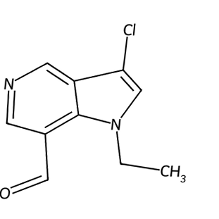 CCn1cc(Cl)c2cncc(C=O)c21